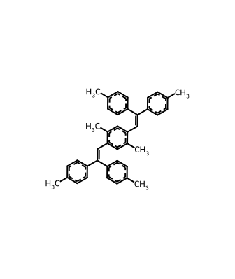 Cc1ccc(C(=Cc2cc(C)c(C=C(c3ccc(C)cc3)c3ccc(C)cc3)cc2C)c2ccc(C)cc2)cc1